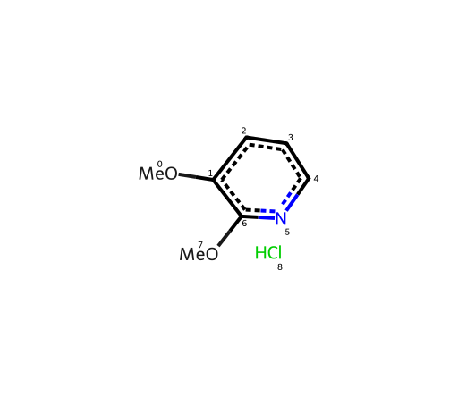 COc1cccnc1OC.Cl